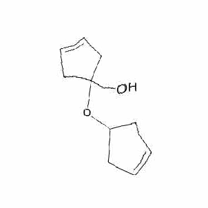 OC1(OC2CC=CC2)CC=CC1